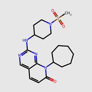 CS(=O)(=O)N1CCC(Nc2ncc3ccc(=O)n(C4CCCCCC4)c3n2)CC1